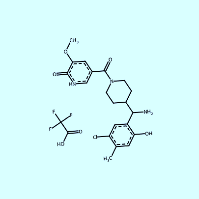 COc1cc(C(=O)N2CCC(C(N)c3cc(Cl)c(C)cc3O)CC2)c[nH]c1=O.O=C(O)C(F)(F)F